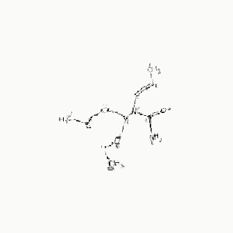 CC=CN(C(N)=O)C(OCC)OCC